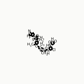 CCc1cc(N2C(=S)N(c3ccc(C#N)c(C(F)(F)F)c3)C(=O)C2(C)C)ccc1OCCN1C[C@@H](C)N(CC(=O)Nc2cc(Cl)cc(NC3CCC(=O)NC3=O)c2)C[C@@H]1C